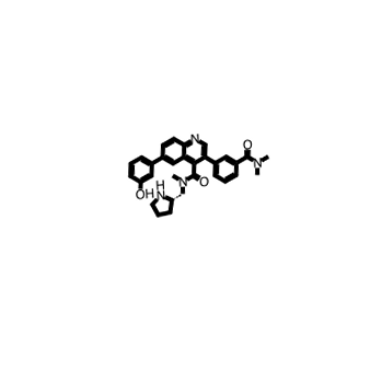 CN(C)C(=O)c1cccc(-c2cnc3ccc(-c4cccc(O)c4)cc3c2C(=O)N(C)C[C@@H]2CCCN2)c1